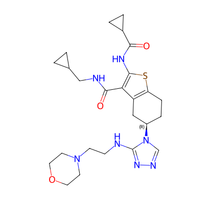 O=C(NCC1CC1)c1c(NC(=O)C2CC2)sc2c1C[C@H](n1cnnc1NCCN1CCOCC1)CC2